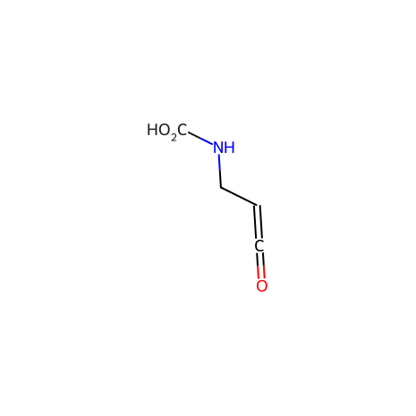 O=C=CCNC(=O)O